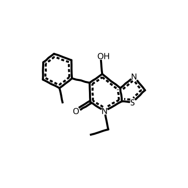 CCn1c(=O)c(-c2ccccc2C)c(O)c2ncsc21